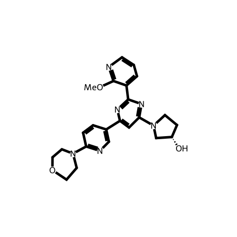 COc1ncccc1-c1nc(-c2ccc(N3CCOCC3)nc2)cc(N2CC[C@H](O)C2)n1